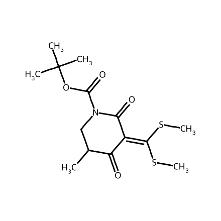 CSC(SC)=C1C(=O)C(C)CN(C(=O)OC(C)(C)C)C1=O